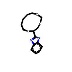 c1ccc2c(c1)[N]C(C1CCCCCCCCCC1)=N2